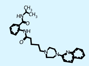 CC(C)NC(=O)c1ccccc1NC(=O)CCCCN1CCN(c2ccc3ccccc3n2)CC1